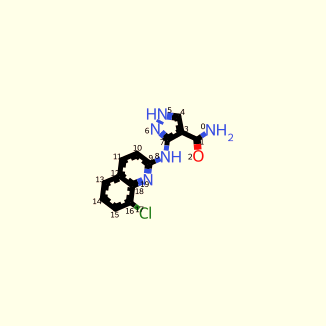 NC(=O)c1c[nH]nc1Nc1ccc2cccc(Cl)c2n1